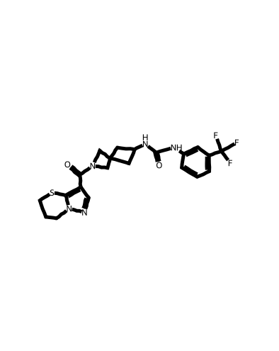 O=C(Nc1cccc(C(F)(F)F)c1)NC1CC2(C1)CN(C(=O)c1cnn3c1SCCC3)C2